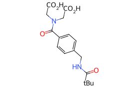 CC(C)(C)C(=O)NCc1ccc(C(=O)N(CC(=O)O)CC(=O)O)cc1